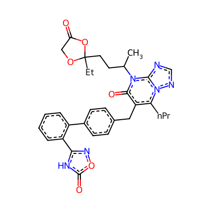 CCCc1c(Cc2ccc(-c3ccccc3-c3noc(=O)[nH]3)cc2)c(=O)n(C(C)CCC2(CC)OCC(=O)O2)c2ncnn12